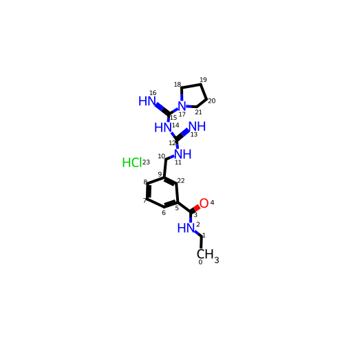 CCNC(=O)c1cccc(CNC(=N)NC(=N)N2CCCC2)c1.Cl